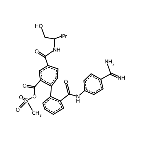 CC(C)C(CO)NC(=O)c1ccc(-c2ccccc2C(=O)Nc2ccc(C(=N)N)cc2)c(C(=O)OS(C)(=O)=O)c1